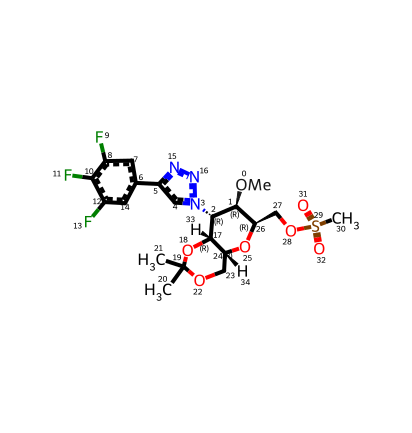 CO[C@@H]1[C@@H](n2cc(-c3cc(F)c(F)c(F)c3)nn2)[C@H]2OC(C)(C)OC[C@H]2O[C@@H]1COS(C)(=O)=O